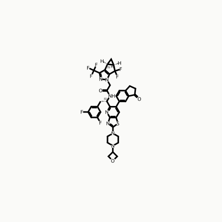 O=C(Cn1nc(C(F)(F)F)c2c1C(F)(F)[C@@H]1C[C@H]21)N[C@@H](Cc1cc(F)cc(F)c1)c1nc2nc(N3CCN(C4COC4)CC3)sc2cc1-c1ccc2c(c1)C(=O)CC2